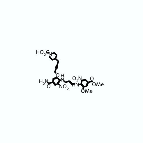 COC(=O)c1cc(OC)c(NCC=CCNc2c(OCC#CCC3CCN(C(=O)O)CC3)cc(C(N)=O)cc2[N+](=O)[O-])c([N+](=O)[O-])c1